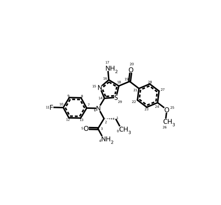 CC[C@H](C(N)=O)N(c1ccc(F)cc1)c1nc(N)c(C(=O)c2ccc(OC)cc2)s1